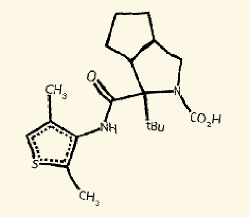 Cc1csc(C)c1NC(=O)C1(C(C)(C)C)C2CCCC2CN1C(=O)O